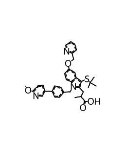 COc1ccc(-c2ccc(Cn3c(CC(C)C(=O)O)c(SC(C)(C)C)c4cc(OCc5ccccn5)ccc43)cc2)cn1